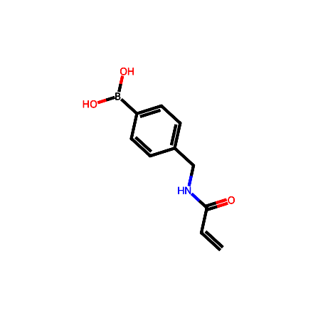 C=CC(=O)NCc1ccc(B(O)O)cc1